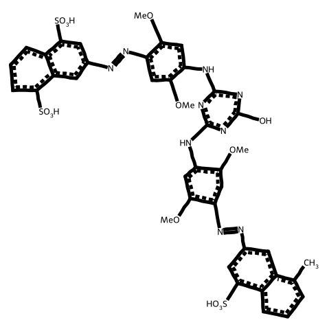 COc1cc(Nc2nc(O)nc(Nc3cc(OC)c(/N=N/c4cc(S(=O)(=O)O)c5cccc(S(=O)(=O)O)c5c4)cc3OC)n2)c(OC)cc1/N=N/c1cc(S(=O)(=O)O)c2cccc(C)c2c1